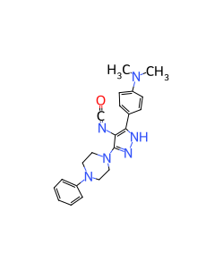 CN(C)c1ccc(-c2[nH]nc(N3CCN(c4ccccc4)CC3)c2N=C=O)cc1